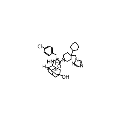 O=C([C@@H](Cc1ccc(Cl)cc1)NC1[C@@H]2CC3C[C@H]1CC(O)(C3)C2)N1CCC(Cn2cncn2)(C2CCCCC2)CC1